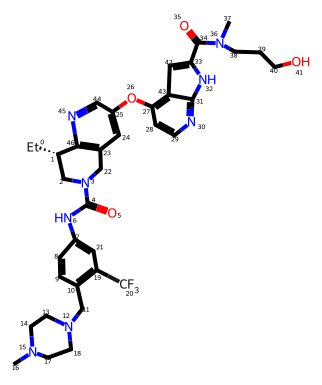 CC[C@H]1CN(C(=O)Nc2ccc(CN3CCN(C)CC3)c(C(F)(F)F)c2)Cc2cc(Oc3ccnc4[nH]c(C(=O)N(C)CCCO)cc34)cnc21